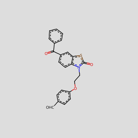 O=Cc1ccc(OCCn2c(=O)sc3cc(C(=O)c4ccccc4)ccc32)cc1